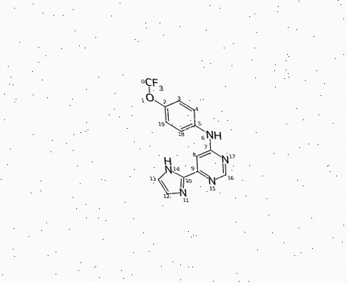 FC(F)(F)Oc1ccc(Nc2cc(-c3ncc[nH]3)ncn2)cc1